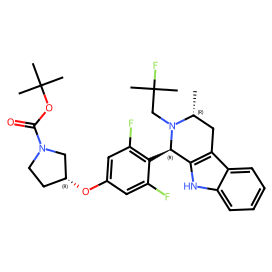 C[C@@H]1Cc2c([nH]c3ccccc23)[C@@H](c2c(F)cc(O[C@@H]3CCN(C(=O)OC(C)(C)C)C3)cc2F)N1CC(C)(C)F